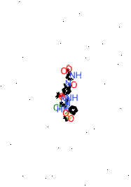 COC(=O)[C@@H]1CC(N2Cc3cc(OC(C)C)c(Nc4ncc(Cl)c(Nc5ccccc5S(=O)(=O)C(C)C)n4)cc3C2=O)CN1